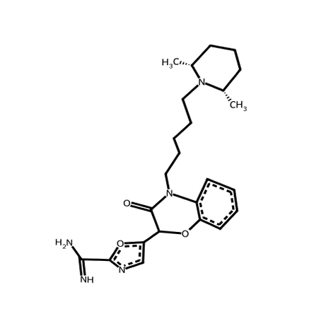 C[C@@H]1CCC[C@H](C)N1CCCCCN1C(=O)C(c2cnc(C(=N)N)o2)Oc2ccccc21